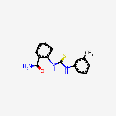 NC(=O)c1cc[c]cc1NC(=S)Nc1cccc(C(F)(F)F)c1